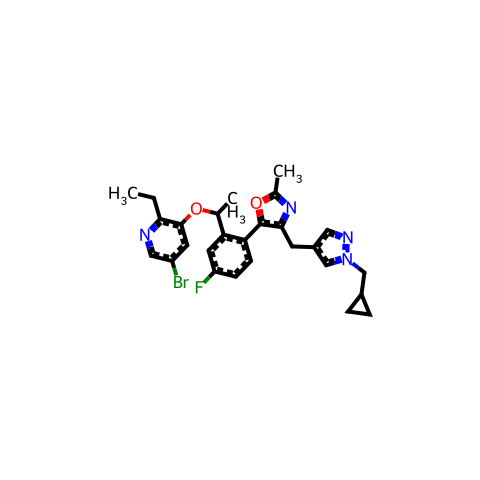 CCc1ncc(Br)cc1OC(C)c1cc(F)ccc1-c1oc(C)nc1Cc1cnn(CC2CC2)c1